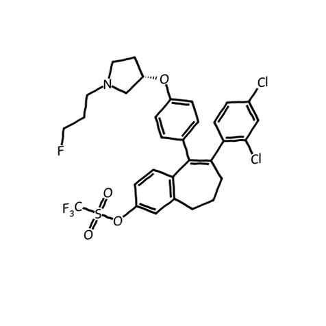 O=S(=O)(Oc1ccc2c(c1)CCCC(c1ccc(Cl)cc1Cl)=C2c1ccc(O[C@H]2CCN(CCCF)C2)cc1)C(F)(F)F